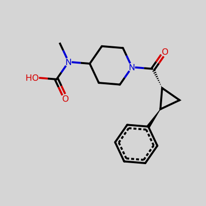 CN(C(=O)O)C1CCN(C(=O)[C@@H]2C[C@H]2c2ccccc2)CC1